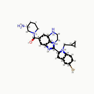 N[C@@H]1CCCN(C(=O)c2cc3c4c(c2)nc(-c2cc5cc(Br)ccc5n2CC2CC2)n4CCN3)C1